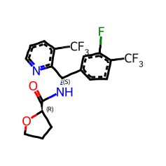 O=C(N[C@@H](c1ccc(C(F)(F)F)c(F)c1)c1ncccc1C(F)(F)F)[C@H]1CCCO1